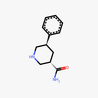 NC(=O)[C@@H]1CNC[C@@H](c2ccccc2)C1